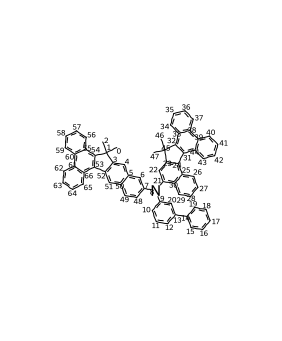 CC1(C)c2cc3cc(N(c4cccc(-c5ccccc5)c4)c4cc5c(c6ccccc46)-c4c(c6ccccc6c6ccccc46)C5(C)C)ccc3cc2-c2c1c1ccccc1c1ccccc21